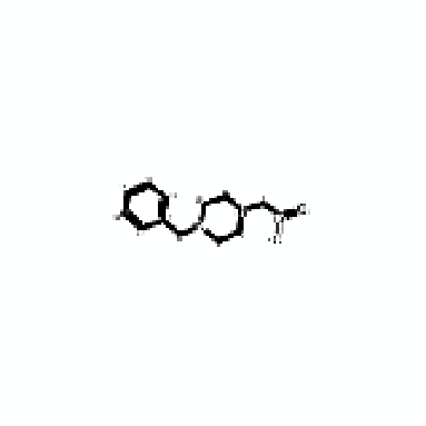 O=[SH](=O)CN1CCN(Cc2ccccc2)CC1